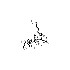 CC(C)O.CC(C)O.CCCCCC.CCO.CCO